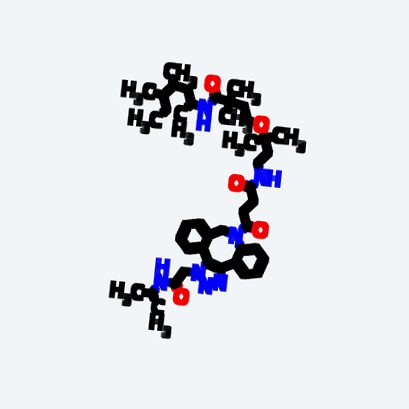 CCC(C)C(C)CC(C)NC(=O)C(C)(C)CCOC(C)(C)CCNC(=O)CCC(=O)N1Cc2ccccc2-c2c(nnn2CC(=O)NC(C)C)-c2ccccc21